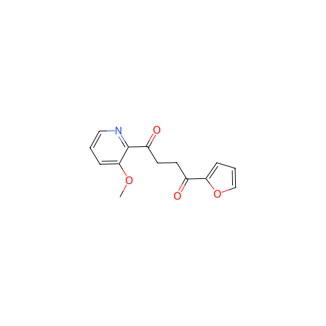 COc1cccnc1C(=O)CCC(=O)c1ccco1